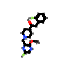 COc1ncc(F)nc1CN1CCC(C(=O)Cc2ccccc2F)CC1